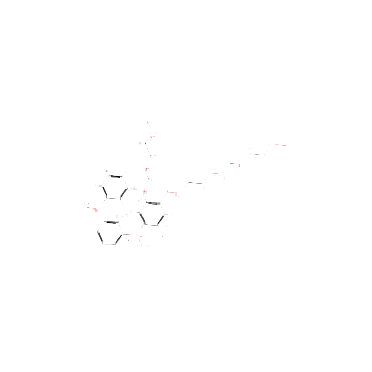 COCCOCCOCCOCc1cc(C)cc(P(c2ccccc2OC)c2ccccc2OC)c1OCOCCOC